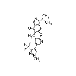 CC(C)c1ncc2c(=O)n(C)c(Oc3ccc(-c4cn(C)nc4C(F)(F)F)cn3)cn12